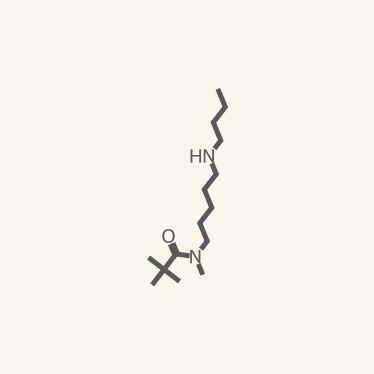 CCCCNCCCCCN(C)C(=O)C(C)(C)C